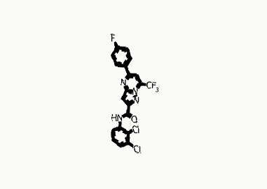 O=C(Nc1cccc(Cl)c1Cl)c1cc2nc(-c3ccc(F)cc3)cc(C(F)(F)F)n2n1